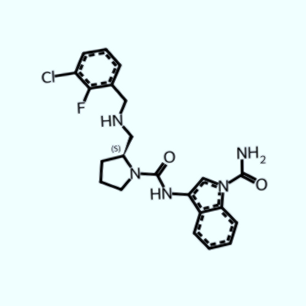 NC(=O)n1cc(NC(=O)N2CCC[C@H]2CNCc2cccc(Cl)c2F)c2ccccc21